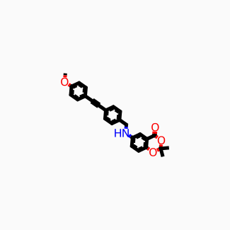 COc1ccc(C#Cc2ccc(CNc3ccc4c(c3)C(=O)OC(C)(C)O4)cc2)cc1